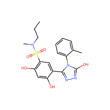 CCCN(C)S(=O)(=O)c1cc(-c2nnc(O)n2-c2ccccc2C)c(O)cc1O